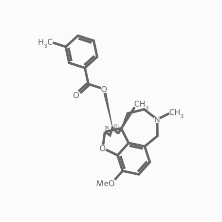 COc1ccc2c3c1OC1C[C@@H](OC(=O)c4cccc(C)c4)C(C)[C@@]31CCN(C)C2